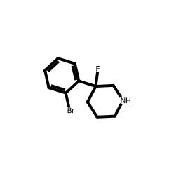 FC1(c2ccccc2Br)CCCNC1